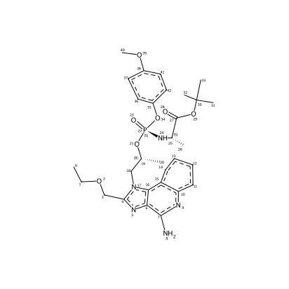 CCOCc1nc2c(N)nc3ccccc3c2n1C[C@@H](C)O[P@@](=O)(N[C@@H](C)C(=O)OC(C)(C)C)Oc1ccc(OC)cc1